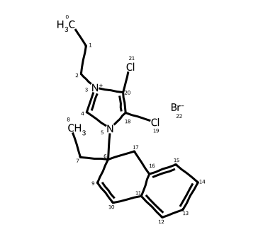 CCC[n+]1cn(C2(CC)C=Cc3ccccc3C2)c(Cl)c1Cl.[Br-]